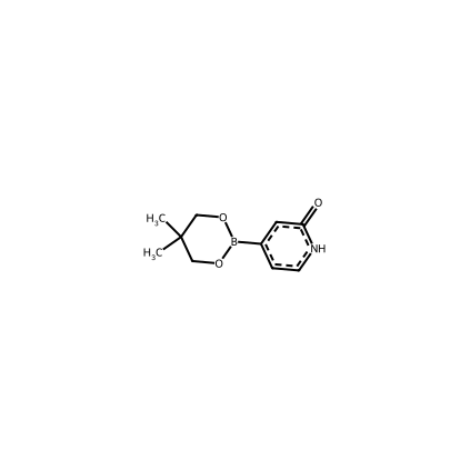 CC1(C)COB(c2cc[nH]c(=O)c2)OC1